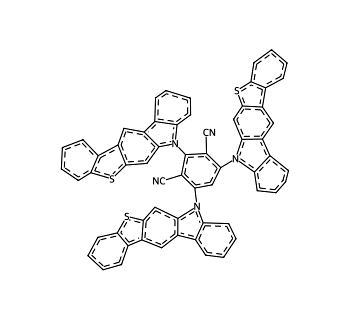 N#Cc1c(-n2c3ccccc3c3cc4c(cc32)sc2ccccc24)cc(-n2c3ccccc3c3cc4c(cc32)sc2ccccc24)c(C#N)c1-n1c2ccccc2c2cc3c(cc21)sc1ccccc13